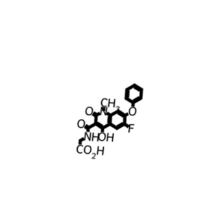 Cn1c(=O)c(C(=O)NCC(=O)O)c(O)c2cc(F)c(Oc3ccccc3)cc21